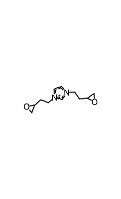 c1c[n+](CCC2CO2)cn1CCC1CO1